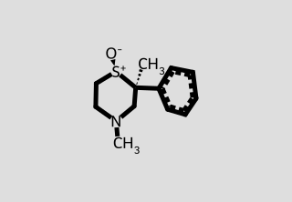 CN1CC[S@@+]([O-])[C@@](C)(c2ccccc2)C1